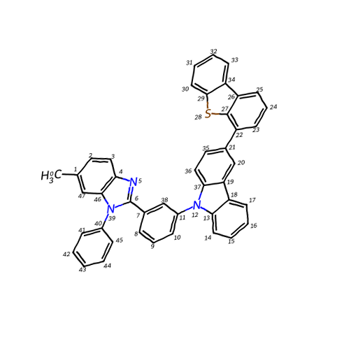 Cc1ccc2nc(-c3cccc(-n4c5ccccc5c5cc(-c6cccc7c6sc6ccccc67)ccc54)c3)n(-c3ccccc3)c2c1